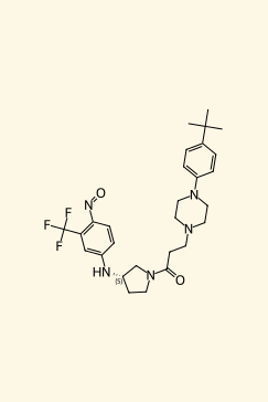 CC(C)(C)c1ccc(N2CCN(CCC(=O)N3CC[C@H](Nc4ccc(N=O)c(C(F)(F)F)c4)C3)CC2)cc1